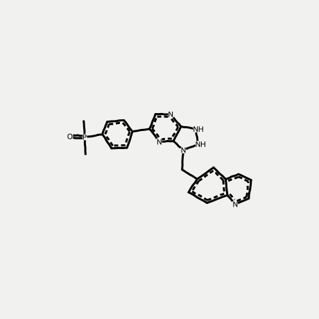 CP(C)(=O)c1ccc(-c2cnc3c(n2)N(Cc2ccc4ncccc4c2)NN3)cc1